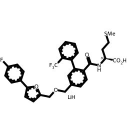 CSCC[C@H](NC(=O)c1ccc(COCc2ccc(-c3ccc(F)cc3)o2)cc1-c1ccccc1C(F)(F)F)C(=O)O.[LiH]